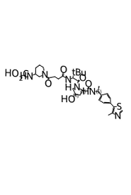 Cc1ncsc1-c1ccc([C@H](C)NC(=O)[C@@H]2C[C@@H](O)CN2C(=O)C(NC(=O)CCC(=O)N2CCCC(NC(=O)O)C2)C(C)(C)C)cc1